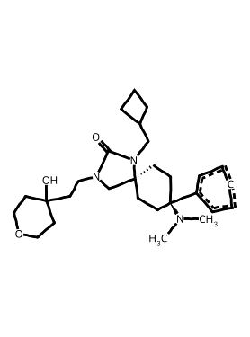 CN(C)[C@]1(c2ccccc2)CC[C@]2(CC1)CN(CCC1(O)CCOCC1)C(=O)N2CC1CCC1